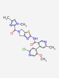 COc1cnc(Cl)cc1-c1cc(C)ncc1C(=O)Nc1nc2c(s1)CN(C(=O)c1nc(C)cn1C)C2